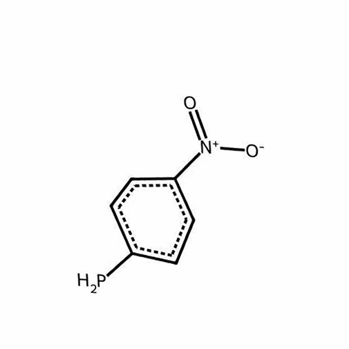 O=[N+]([O-])c1ccc(P)cc1